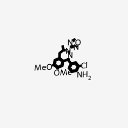 COc1cc2c(cc1OC)C(c1ccc(N)c(Cl)c1)=NN(c1ncon1)C(C)C2